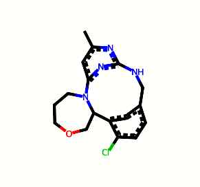 Cc1cc2nc(n1)NCc1ccc(Cl)c(c1)C1COCCCN21